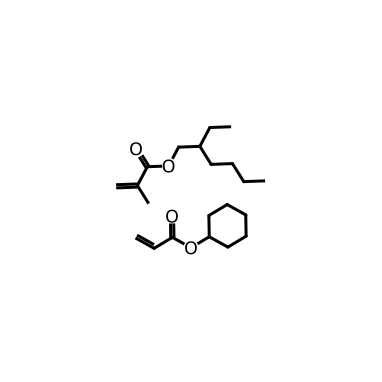 C=C(C)C(=O)OCC(CC)CCCC.C=CC(=O)OC1CCCCC1